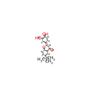 CC(C)(C)c1ccc2oc(-c3ccc(O)c(O)c3)cc(=O)c2c1